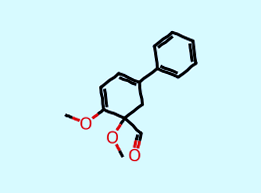 COC1=CC=C(c2ccccc2)CC1(C=O)OC